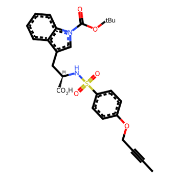 CC#CCOc1ccc(S(=O)(=O)N[C@H](Cc2cn(C(=O)OC(C)(C)C)c3ccccc23)C(=O)O)cc1